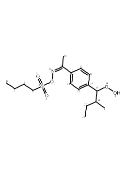 CCCCS(=O)(=O)O/N=C(/C)c1ccc(C(OO)C(C)CC)cc1